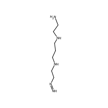 N=NCCNCCCNCCN